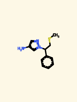 CSCC(c1ccccc1)n1cc(N)cn1